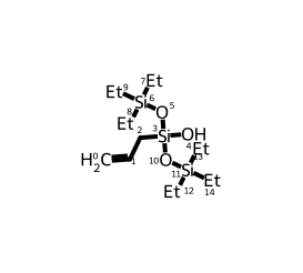 C=CC[Si](O)(O[Si](CC)(CC)CC)O[Si](CC)(CC)CC